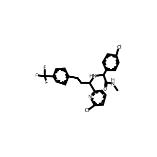 CNC(=O)C(NC(CCc1ccc(C(F)(F)F)cc1)c1cccc(Cl)n1)c1ccc(Cl)cc1